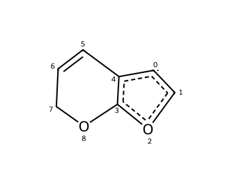 [c]1coc2c1C=CCO2